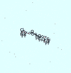 CC(C)(Cc1ccc(C(=P)OCCSSCCOC(=O)c2ccc(CC(C)(C)CC(c3c(F)c(F)c(F)c(F)c3F)C(C)(C)Cl)cc2)cc1)CC(c1c(F)c(F)c(F)c(F)c1F)C(C)(C)O